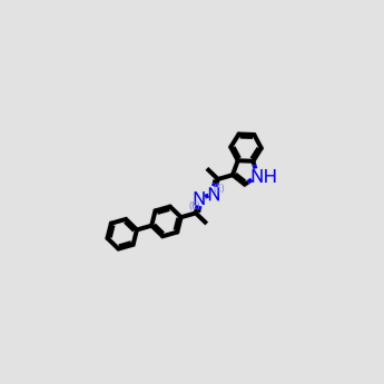 C/C(=N\N=C(/C)c1c[nH]c2ccccc12)c1ccc(-c2ccccc2)cc1